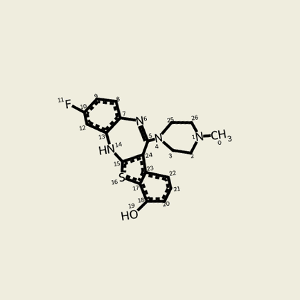 CN1CCN(C2=Nc3ccc(F)cc3Nc3sc4c(O)cccc4c32)CC1